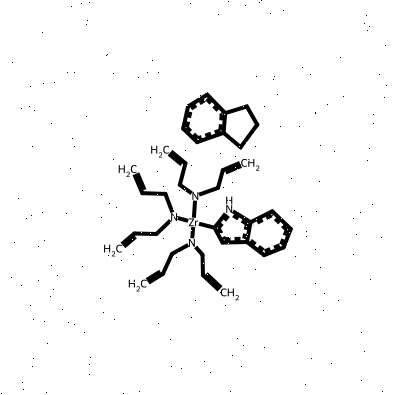 C=CC[N](CC=C)[Zr]([c]1cc2ccccc2[nH]1)([N](CC=C)CC=C)[N](CC=C)CC=C.c1ccc2c(c1)CCC2